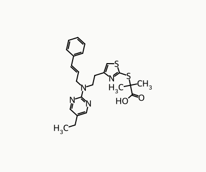 CCc1cnc(N(CC=Cc2ccccc2)CCc2csc(SC(C)(C)C(=O)O)n2)nc1